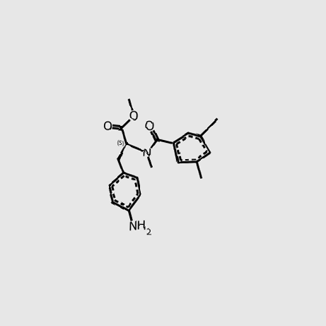 COC(=O)[C@H](Cc1ccc(N)cc1)N(C)C(=O)c1cc(C)cc(C)c1